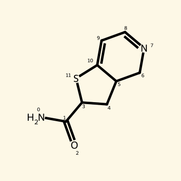 NC(=O)C1CC2CN=CC=C2S1